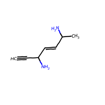 C#CC(N)C=CC(C)N